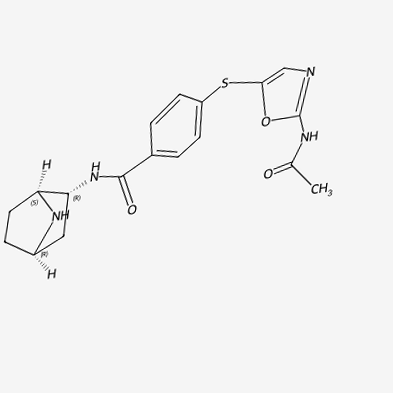 CC(=O)Nc1ncc(Sc2ccc(C(=O)N[C@@H]3C[C@H]4CC[C@@H]3N4)cc2)o1